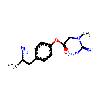 CN(CC(=O)Oc1ccc(CC(N)C(=O)O)cc1)C(=N)N